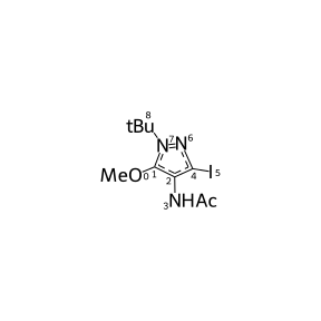 COc1c(NC(C)=O)c(I)nn1C(C)(C)C